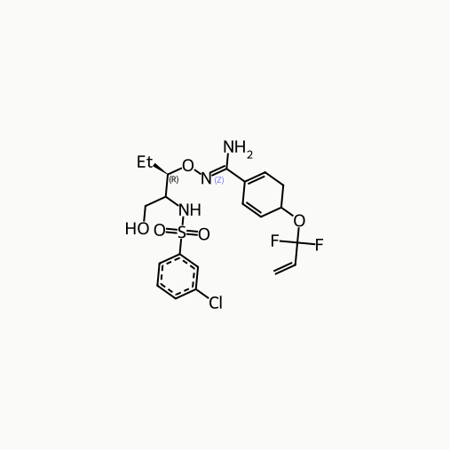 C=CC(F)(F)OC1C=CC(/C(N)=N/O[C@H](CC)C(CO)NS(=O)(=O)c2cccc(Cl)c2)=CC1